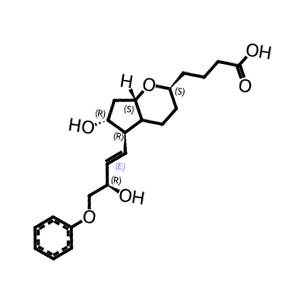 O=C(O)CCC[C@H]1CCC2[C@H](C[C@@H](O)[C@@H]2/C=C/[C@@H](O)COc2ccccc2)O1